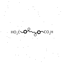 O=C(O)CCc1ccc(C(=O)CCCCC(=O)c2ccc(CCC(=O)O)cc2)cc1